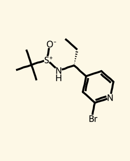 CC[C@@H](N[S+]([O-])C(C)(C)C)c1ccnc(Br)c1